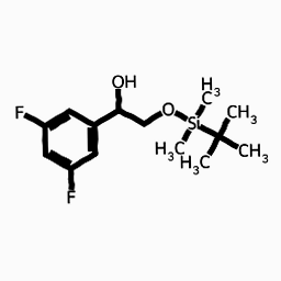 CC(C)(C)[Si](C)(C)OCC(O)c1cc(F)cc(F)c1